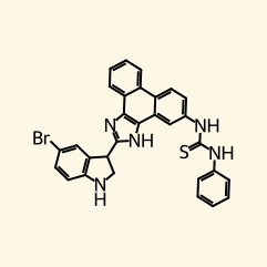 S=C(Nc1ccccc1)Nc1ccc2c3ccccc3c3nc(C4CNc5ccc(Br)cc54)[nH]c3c2c1